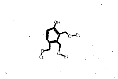 CCOCc1ccc(O)c(COCC)c1COCC